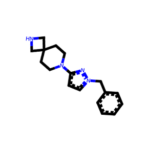 c1ccc(Cn2ccc(N3CCC4(CC3)CNC4)n2)cc1